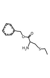 CCSCC(N)C(=O)OCc1ccccc1